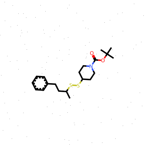 CC(CCc1ccccc1)SSC1CCN(C(=O)OC(C)(C)C)CC1